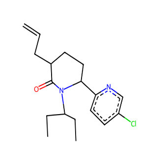 C=CCC1CCC(c2ccc(Cl)cn2)N(C(CC)CC)C1=O